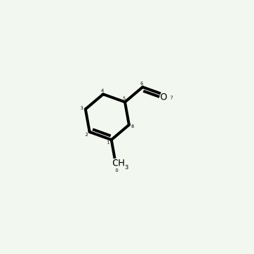 CC1=CCCC(C=O)C1